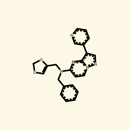 C1=C(CN(Cc2ccccc2)c2ccn3ncc(-c4cccnc4)c3n2)OCO1